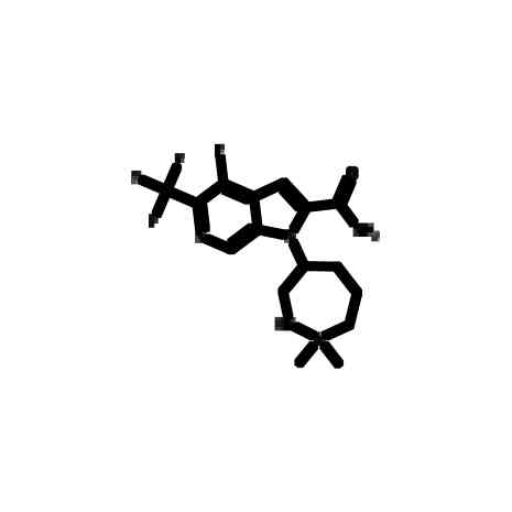 C[Si]1(C)CCCC(n2c(C(N)=O)cc3c(F)c(C(F)(F)F)ncc32)CN1